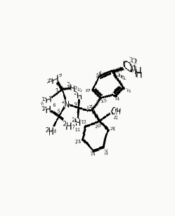 [2H]C([2H])([2H])N(C([2H])([2H])[2H])C([2H])([2H])C(c1ccc(O)cc1)C1(O)CCCCC1